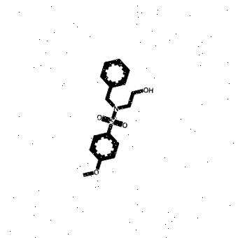 COc1ccc(S(=O)(=O)N(CCO)Cc2ccccc2)cc1